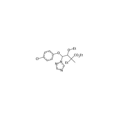 CCOC(=O)C(C)(CC)C(OCC)C(Oc1ccc(Cl)cc1)n1cncn1